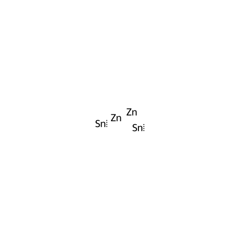 [Sn].[Sn].[Zn].[Zn]